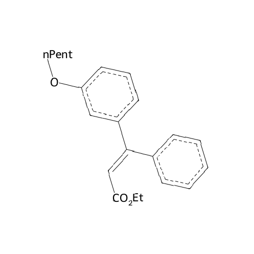 CCCCCOc1cccc(C(=CC(=O)OCC)c2ccccc2)c1